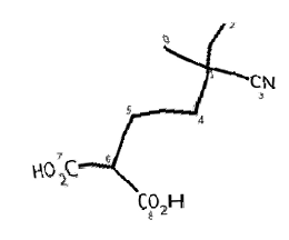 CC(C)(C#N)CCC(C(=O)O)C(=O)O